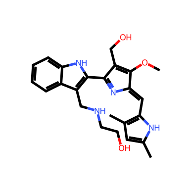 COC1=C(CO)C(c2[nH]c3ccccc3c2CNCCO)=NC1=Cc1[nH]c(C)cc1C